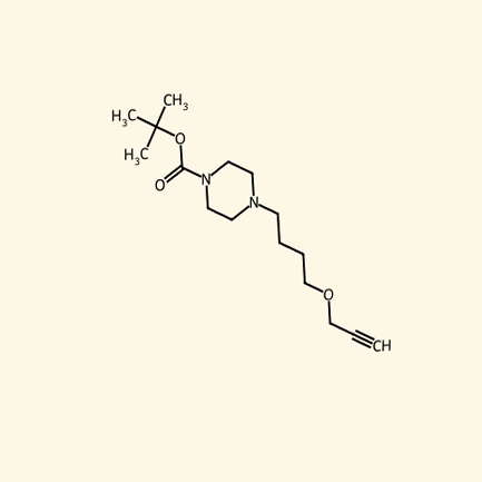 C#CCOCCCCN1CCN(C(=O)OC(C)(C)C)CC1